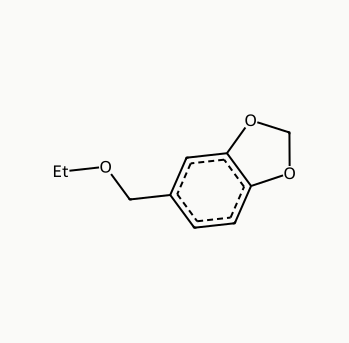 CCOCc1ccc2c(c1)OCO2